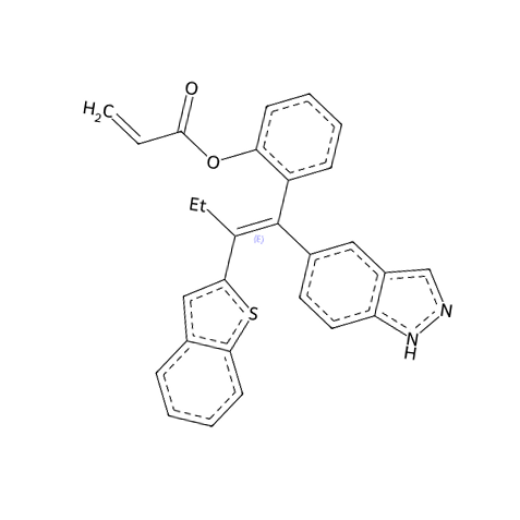 C=CC(=O)Oc1ccccc1/C(=C(\CC)c1cc2ccccc2s1)c1ccc2[nH]ncc2c1